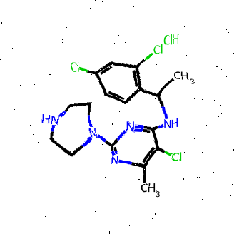 Cc1nc(N2CCNCC2)nc(NC(C)c2ccc(Cl)cc2Cl)c1Cl.Cl